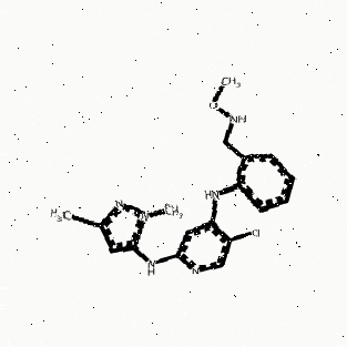 CONCc1ccccc1Nc1cc(Nc2cc(C)nn2C)ncc1Cl